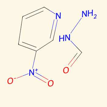 NNC=O.O=[N+]([O-])c1cccnc1